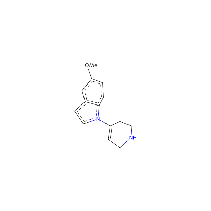 COc1ccc2c(ccn2C2=CCNCC2)c1